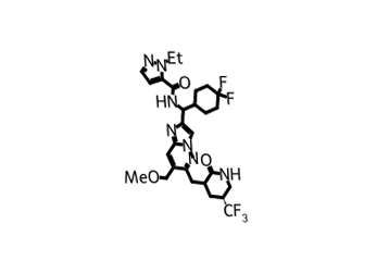 CCn1nccc1C(=O)NC(c1cn2nc(CC3C[C@@H](C(F)(F)F)CNC3=O)c(COC)cc2n1)C1CCC(F)(F)CC1